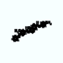 Cc1cc(N=Nc2ccc3cc(NOc4ccc(N)cc4)ccc3c2O)ccc1N=Nc1ccccc1